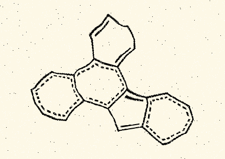 [C]1=c2ccccc2=c2c1c1ccccc1c1c2=CCC=C1